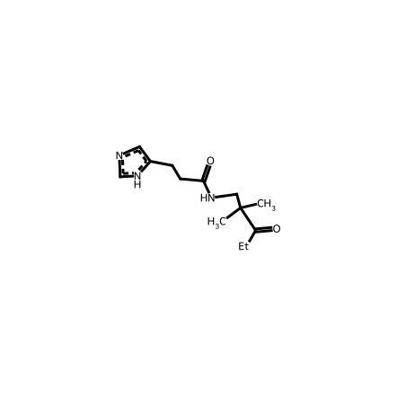 CCC(=O)C(C)(C)CNC(=O)CCc1cnc[nH]1